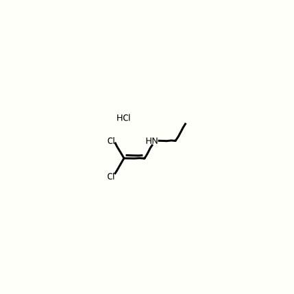 CCNC=C(Cl)Cl.Cl